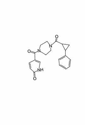 O=C(c1ccc(=O)[nH]c1)N1CCN(C(=O)C2CC2c2ccccc2)CC1